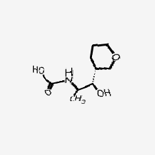 CC(NC(=O)O)C(O)[C@@H]1CCCOC1